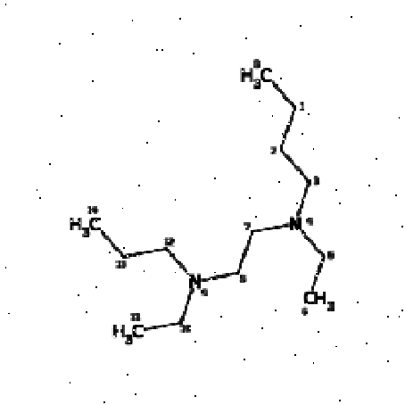 CCCCN(CC)CCN(CC)CCC